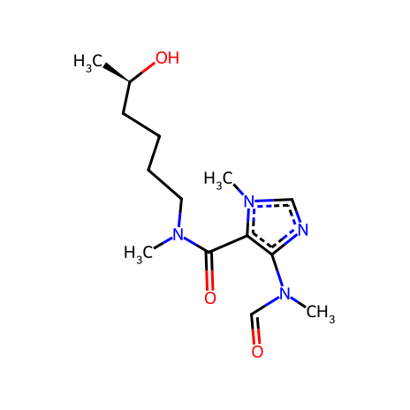 C[C@@H](O)CCCCN(C)C(=O)c1c(N(C)C=O)ncn1C